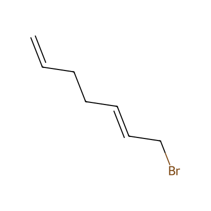 C=CCC/C=C/CBr